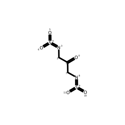 O=C(CN=S(=O)=O)CN=S(=O)=O